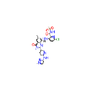 Cc1cc([C@@H](C)Nc2ccc(Cl)nc2C(=O)NS(C)(=O)=O)c2nc(-c3ccc(Nc4ccn(C)n4)nc3)n(C)c(=O)c2c1